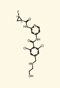 O=C(Nc1ccnc(NC(=O)[C@H]2C[C@H]2F)c1)c1c(Cl)cc(CNCCO)cc1Cl